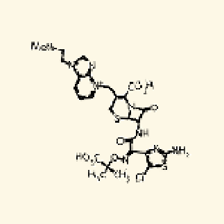 CNCCn1cnc2c1ccc[n+]2CC1=C(C(=O)O)N2C(=O)C(NC(=O)/C(=N\OC(C)(C)C(=O)O)c3nc(N)sc3Cl)C2SC1